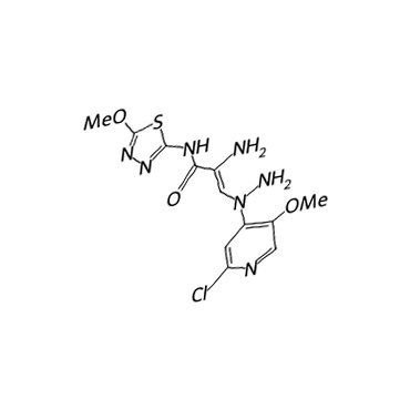 COc1nnc(NC(=O)/C(N)=C/N(N)c2cc(Cl)ncc2OC)s1